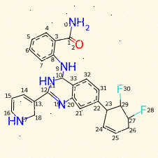 NC(=O)c1ccccc1NC1NC(C2=CC=CNC2)=Nc2cc(C3C=CCC(F)C3F)ccc21